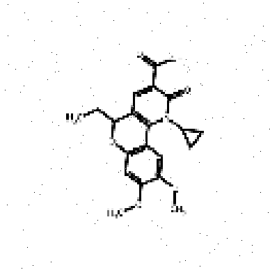 CCC1Oc2cc(OC)c(OC)cc2-c2c1cc(C(=O)O)c(=O)n2C1CC1